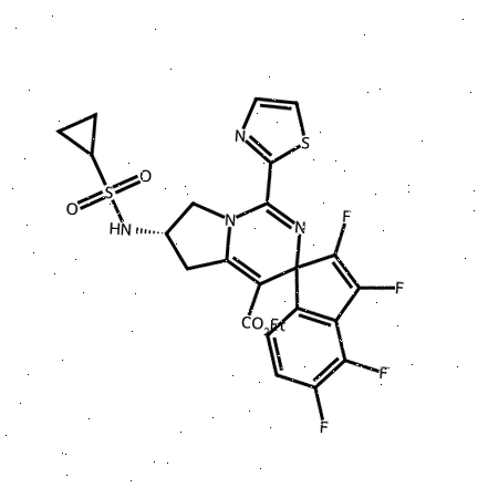 CCOC(=O)C1=C2C[C@H](NS(=O)(=O)C3CC3)CN2C(c2nccs2)=NC12C(F)=C(F)c1c2ccc(F)c1F